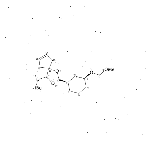 COCO[C@H]1CCC[C@@H](COC2(C(=O)OC(C)(C)C)CC=CC2)C1